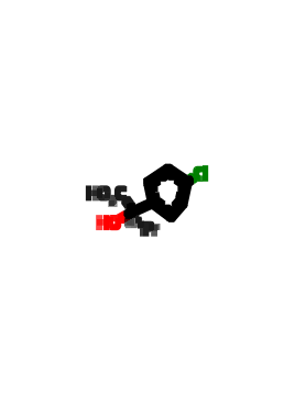 CC(C)[C@](O)(C(=O)O)c1ccc(Cl)cc1